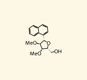 CO[C@@H]1[C@H](OC)[C@@H](CO)O[C@H]1c1cccc2ccccc12